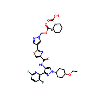 CCOC1CCC(n2cc(NC(=O)c3csc(-c4cnn(COC(=O)[C@H]5CCCC[C@H]5C(=O)O)c4)n3)c(-c3nc(F)ccc3F)n2)CC1